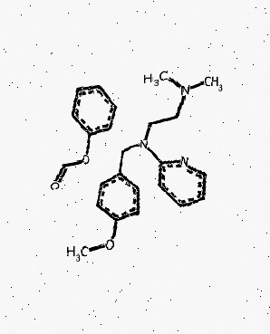 COc1ccc(CN(CCN(C)C)c2ccccn2)cc1.O=COc1ccccc1